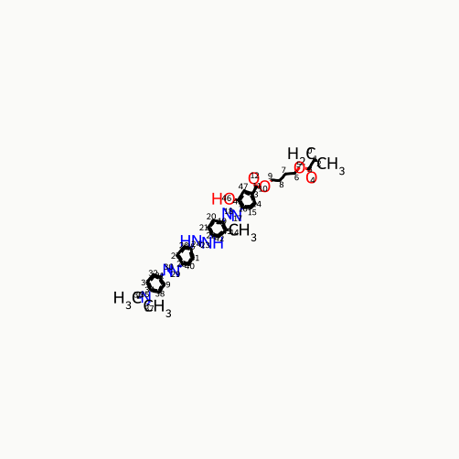 C=C(C)C(=O)OCCCCOC(=O)c1ccc(/N=N/c2ccc(NNc3ccc(/N=N/c4ccc(N(C)C)cc4)cc3)cc2C)c(O)c1